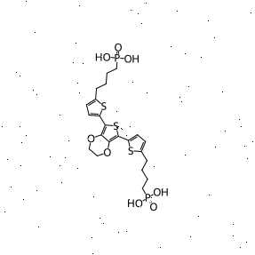 O=P(O)(O)CCCCc1ccc(-c2sc(-c3ccc(CCCCP(=O)(O)O)s3)c3c2OCCO3)s1